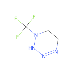 FC(F)(F)N1CCN=NN1